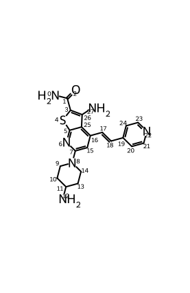 NC(=O)c1sc2nc(N3CCC(N)CC3)cc(C=Cc3ccncc3)c2c1N